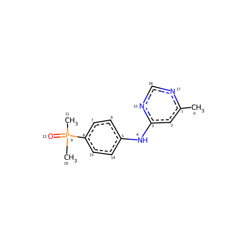 Cc1cc(Nc2ccc(P(C)(C)=O)cc2)ncn1